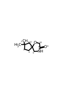 CC1(C)CCC2(CNC(=O)CO2)C1